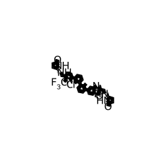 Cc1c(-c2ccn3c(=O)c(CNC[C@H]4CCC(=O)N4)cnc3c2)cccc1-c1cccc(-c2ccc(CNC[C@@H]3CCC(=O)N3)c(C(F)(F)F)n2)c1Cl